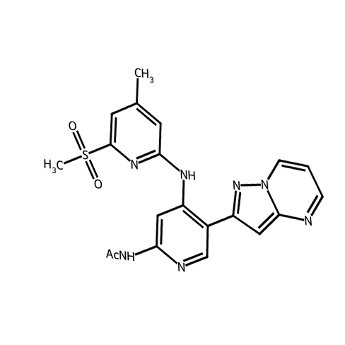 CC(=O)Nc1cc(Nc2cc(C)cc(S(C)(=O)=O)n2)c(-c2cc3ncccn3n2)cn1